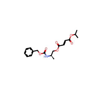 CC(C)OC(=O)/C=C/C(=O)OC[C@@H](C)NC(=O)OCc1ccccc1